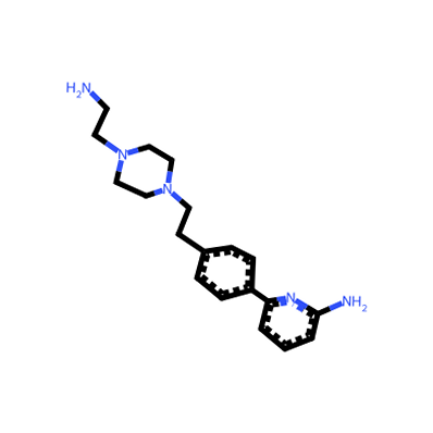 NCCN1CCN(CCc2ccc(-c3cccc(N)n3)cc2)CC1